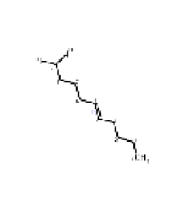 CCCC/C=C/CCCC(I)I